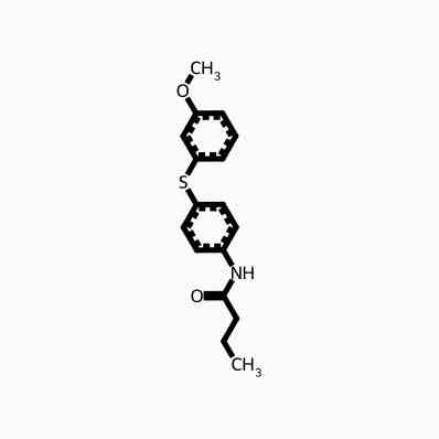 CCCC(=O)Nc1ccc(Sc2cccc(OC)c2)cc1